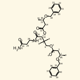 C[C@H](CC(=O)OCC(C)(C)[C@@H](OC(=O)C[C@@H](C)OCc1ccccc1)C(=O)NCCC(N)=O)OCc1ccccc1